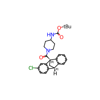 CC(C)(C)OC(=O)NC1CCN(C(=O)[C@]23C[C@H](c4ccccc42)c2ccc(Cl)cc23)CC1